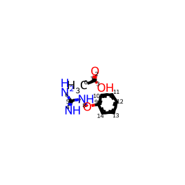 CC(=O)O.N=C(N)NOc1ccccc1